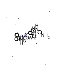 C=N/C(=C\C(OC)=C(/C)c1cc(CC)c2nc(N[C@H]3CC[C@H](N)CC3)ncc2c1)NS(=O)(=O)c1ccccc1Cl